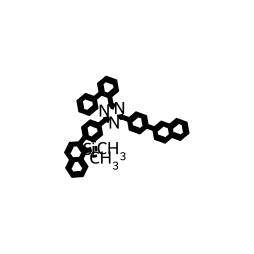 C[Si]1(C)c2cc(-c3nc(-c4ccc(-c5ccc6ccccc6c5)cc4)nc(-c4ccccc4-c4ccccc4)n3)ccc2-c2ccc3ccccc3c21